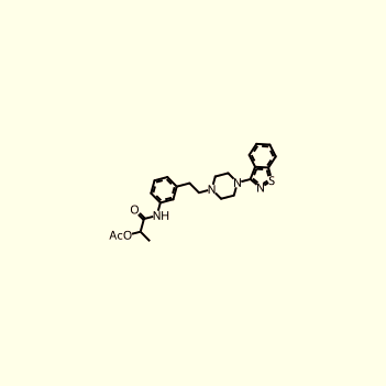 CC(=O)OC(C)C(=O)Nc1cccc(CCN2CCN(c3nsc4ccccc34)CC2)c1